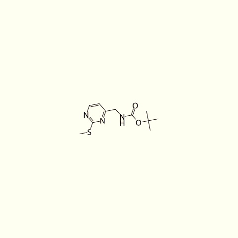 CSc1nccc(CNC(=O)OC(C)(C)C)n1